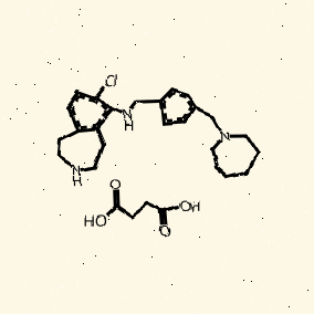 Clc1ccc2c(c1NCc1ccc(CN3CCCCCC3)cc1)CCNCC2.O=C(O)CCC(=O)O